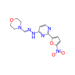 O=[N+]([O-])c1ccc(-c2nccc(N/N=C/N3CCOCC3)n2)o1